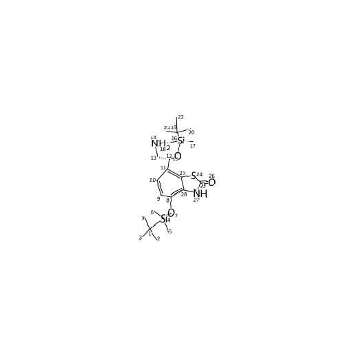 CC(C)(C)[Si](C)(C)Oc1ccc([C@H](CN)O[Si](C)(C)C(C)(C)C)c2sc(=O)[nH]c12